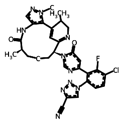 CC1CN=C2C=C1c1c(cnn1C)NC(=O)[C@H](C)CCC[C@@H]2n1cnc(-c2c(-n3cc(C#N)nn3)ccc(Cl)c2F)cc1=O